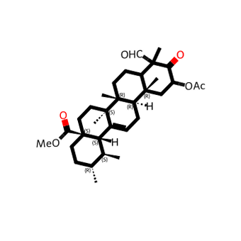 COC(=O)[C@]12CC[C@@H](C)[C@H](C)[C@H]1C1=CC[C@@H]3[C@@]4(C)CC(OC(C)=O)C(=O)C(C)(C=O)C4CC[C@@]3(C)[C@]1(C)CC2